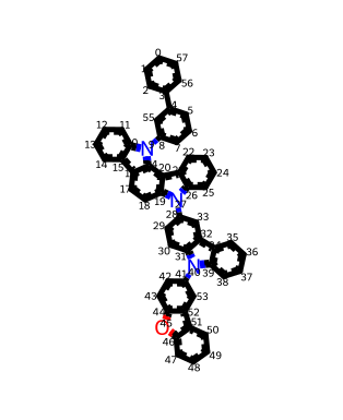 c1ccc(-c2cccc(-n3c4ccccc4c4ccc5c(c6ccccc6n5-c5ccc6c(c5)c5ccccc5n6-c5ccc6oc7ccccc7c6c5)c43)c2)cc1